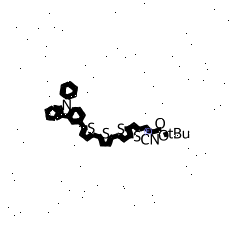 CC(C)(C)OC(=O)/C(C#N)=C/c1cc2sc(-c3ccc(-c4ccc(-c5ccc6c(c5)C5C7CCC(C7)C5N6c5ccccc5)s4)s3)cc2s1